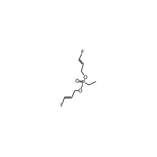 CCP(=O)(OCC=CF)OCC=CF